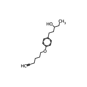 C#CCCCCOc1ccc(CCC(O)CC)cc1